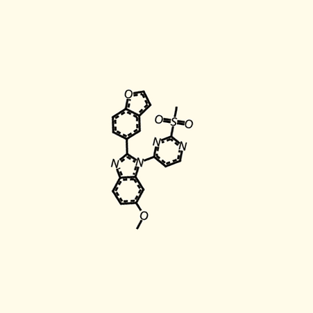 COc1ccc2nc(-c3ccc4occc4c3)n(-c3ccnc(S(C)(=O)=O)n3)c2c1